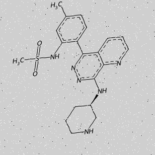 Cc1ccc(-c2nnc(N[C@@H]3CCCNC3)c3ncccc23)c(NS(C)(=O)=O)c1